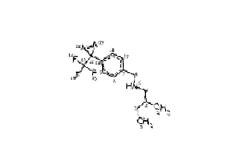 CCC(C)CNCc1ccc(C2(C(F)(F)F)N=N2)cc1